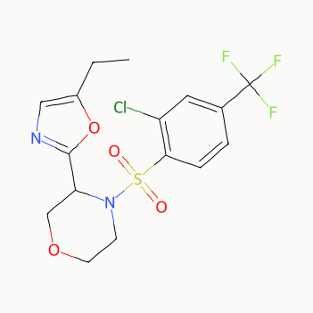 CCc1cnc(C2COCCN2S(=O)(=O)c2ccc(C(F)(F)F)cc2Cl)o1